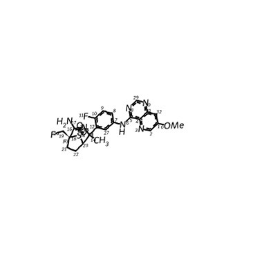 COc1cnc2c(Nc3ccc(F)c([C@@]4(C)N=C(N)[C@@]5(CF)CCC4S5(=O)=O)c3)ncnc2c1